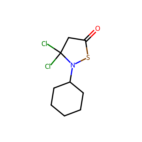 O=C1CC(Cl)(Cl)N(C2CCCCC2)S1